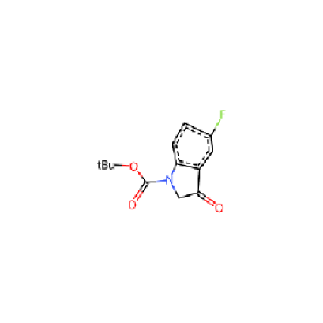 CC(C)(C)OC(=O)N1CC(=O)c2cc(F)ccc21